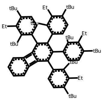 CCc1c(C(C)(C)C)ccc(-c2c(-c3ccc(C(C)(C)C)c(CC)c3C(C)(C)C)c(-c3ccc(C(C)(C)C)c(CC)c3C(C)(C)C)c3c(c2-c2ccc(C(C)(C)C)c(CC)c2C(C)(C)C)=c2ccccc2=3)c1C(C)(C)C